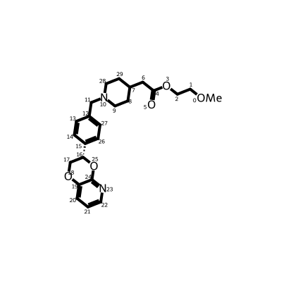 COCCOC(=O)CC1CCN(Cc2ccc([C@H]3COc4cccnc4O3)cc2)CC1